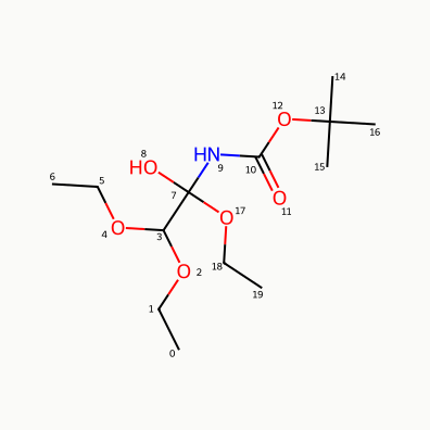 CCOC(OCC)C(O)(NC(=O)OC(C)(C)C)OCC